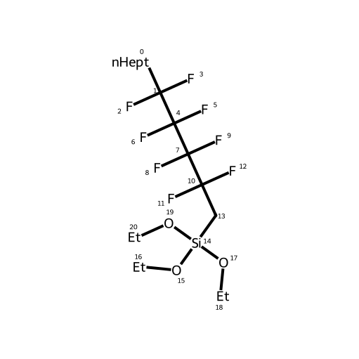 CCCCCCCC(F)(F)C(F)(F)C(F)(F)C(F)(F)C[Si](OCC)(OCC)OCC